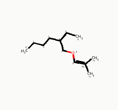 CCCCC(CC)COC=C(C)C